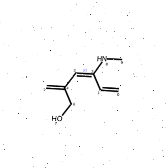 C=C/C(=C\C(=C)CO)NC